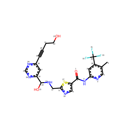 Cc1cnc(NC(=O)c2cnc(CNC(O)c3cc(C#CCCO)ncn3)s2)cc1C(F)(F)F